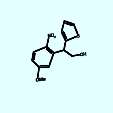 COc1ccc([N+](=O)[O-])c(C(CO)c2cccs2)c1